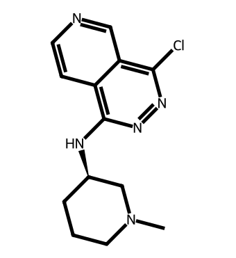 CN1CCC[C@@H](Nc2nnc(Cl)c3cnccc23)C1